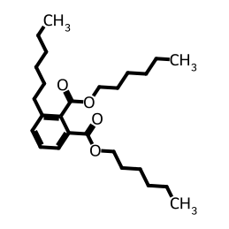 CCCCCCOC(=O)c1cccc(CCCCCC)c1C(=O)OCCCCCC